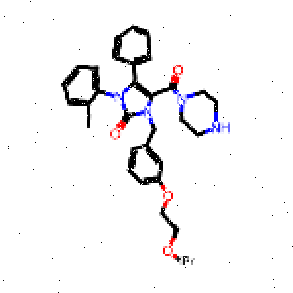 Cc1ccccc1-n1c(-c2ccccc2)c(C(=O)N2CCNCC2)n(Cc2cccc(OCCOC(C)C)c2)c1=O